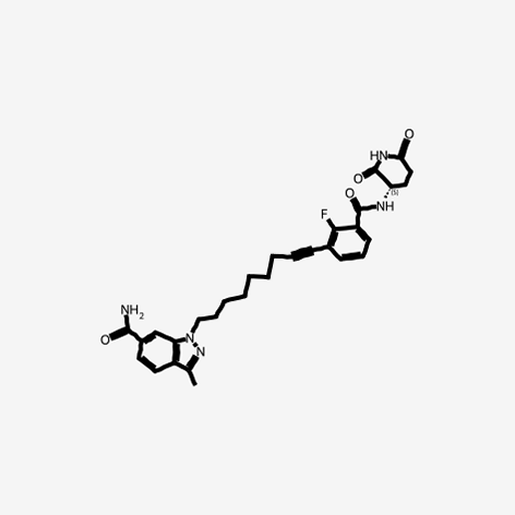 Cc1nn(CCCCCCCC#Cc2cccc(C(=O)N[C@H]3CCC(=O)NC3=O)c2F)c2cc(C(N)=O)ccc12